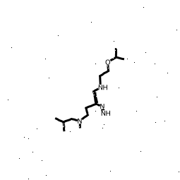 CC(C)CN(C)CC/C(=C/NCCOC(C)C)N=N